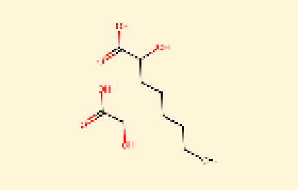 CCCCCCC(O)C(=O)O.O=C(O)CO